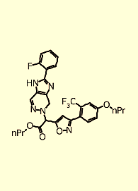 CCCOC(=O)C(c1cc(-c2ccc(OCCC)cc2C(F)(F)F)no1)N1Cc2nc(-c3ccccc3F)[nH]c2C=N1